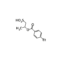 CCc1ccc(C(=O)OC(C)CS(=O)(=O)O)cc1